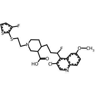 COc1ccc2ncc(Cl)c(C(F)CCC3CCN(CCSc4sccc4F)CC3C(=O)O)c2c1